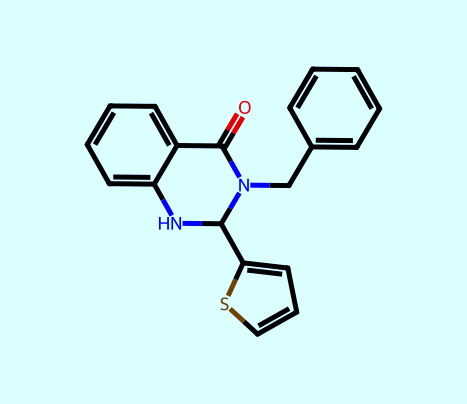 O=C1c2ccccc2NC(c2cccs2)N1Cc1ccccc1